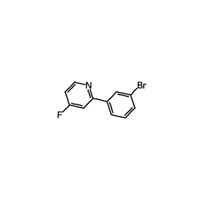 Fc1ccnc(-c2cccc(Br)c2)c1